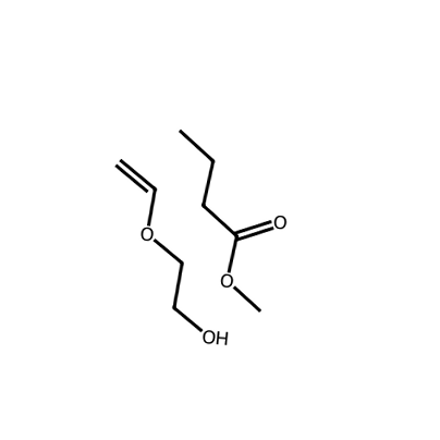 C=COCCO.CCCC(=O)OC